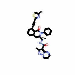 Cc1csc(C#Cc2cccc3cc([C@@H](C)NC(=O)c4c(C)nn5cccnc45)n(-c4ccccc4)c(=O)c23)n1